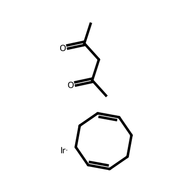 C1=CCCC=CCC1.CC(=O)CC(C)=O.[Ir]